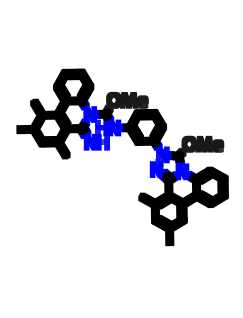 COC1N(c2cccc(NC(OC)n3c(=N)c4c(c5ccccc53)C(C)C(C)C=C4C)c2)N=C2c3c(C)cc(C)cc3-c3ccccc3N21